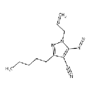 C=CCn1nc(CCCCC)c(C#N)c1N=[N]